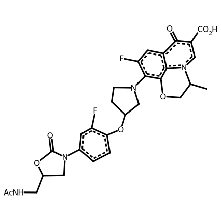 CC(=O)NCC1CN(c2ccc(OC3CCN(c4c(F)cc5c(=O)c(C(=O)O)cn6c5c4OCC6C)C3)c(F)c2)C(=O)O1